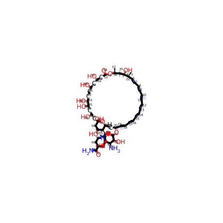 C[C@@H]1[C@H](O)[C@@H](C)/C=C/C=C/C=C/C=C/C=C/C=C/C=C/[C@H](O[C@@H]2O[C@H](C)[C@@H](O)[C@H](N)[C@@H]2O)C[C@@H]2O[C@](O)(C[C@@H](O)C[C@@H](O)[C@H](O)CC[C@@H](O)C[C@@H](O)CC(=O)O[C@H]1C)C[C@H](O)[C@H]2C(=O)N1CCC(C(N)=O)CC1